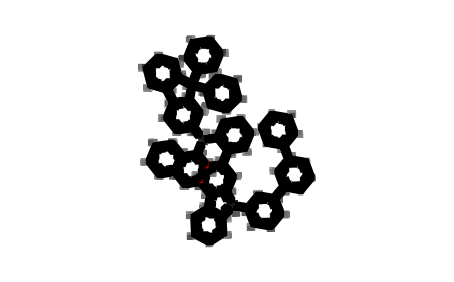 c1ccc(-c2cccc(-c3cccc(-n4c5ccccc5c5ccc(-c6ccccc6N(c6ccc7c(c6)C(c6ccccc6)(c6ccccc6)c6ccccc6-7)c6cccc7ccccc67)cc54)c3)c2)cc1